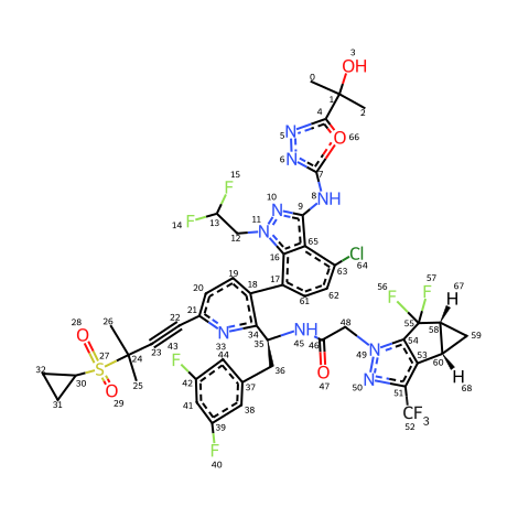 CC(C)(O)c1nnc(Nc2nn(CC(F)F)c3c(-c4ccc(C#CC(C)(C)S(=O)(=O)C5CC5)nc4[C@H](Cc4cc(F)cc(F)c4)NC(=O)Cn4nc(C(F)(F)F)c5c4C(F)(F)[C@@H]4C[C@H]54)ccc(Cl)c23)o1